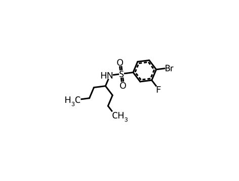 CCCC(CCC)NS(=O)(=O)c1ccc(Br)c(F)c1